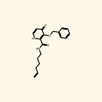 C=CCCCCNC(=O)c1[nH]ccc(=O)c1OCc1ccccc1